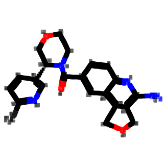 Nc1nc2ccc(C(=O)N3CCOC[C@H]3c3ccc(C(F)(F)F)nc3)cc2c2c1COC2